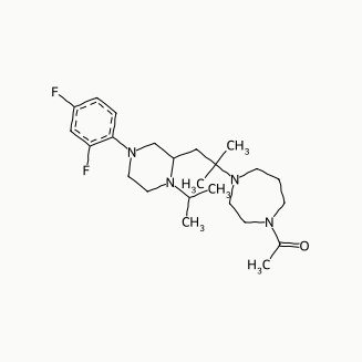 CC(=O)N1CCCN(C(C)(C)CC2CN(c3ccc(F)cc3F)CCN2C(C)C)CC1